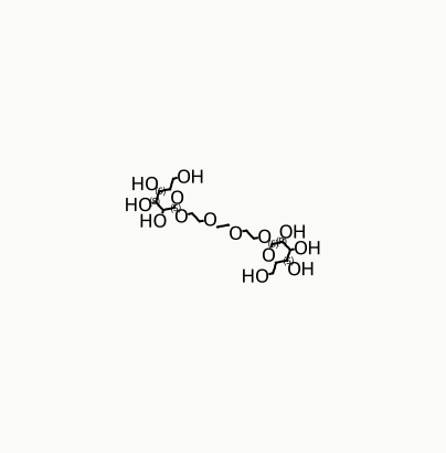 OCC1O[C@H](OCCOCCOCCO[C@H]2OC(CO)[C@@H](O)[C@H](O)C2O)[C@H](O)C(O)[C@@H]1O